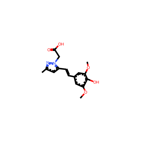 COc1cc(C=Cc2cc(C)nn2CC(=O)O)cc(OC)c1O